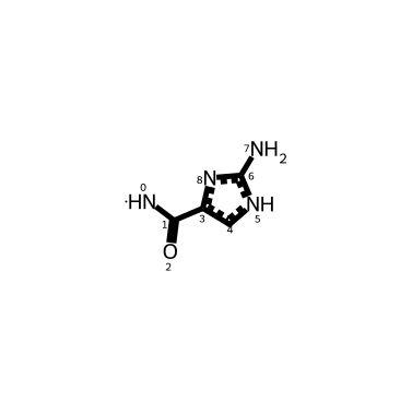 [NH]C(=O)c1c[nH]c(N)n1